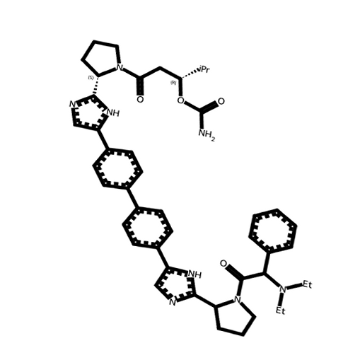 CCN(CC)C(C(=O)N1CCCC1c1ncc(-c2ccc(-c3ccc(-c4cnc([C@@H]5CCCN5C(=O)C[C@@H](OC(N)=O)C(C)C)[nH]4)cc3)cc2)[nH]1)c1ccccc1